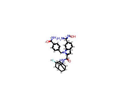 NC(=O)c1ccc(Cn2c(C(=O)NC34CC5CC(CC(F)(C5)C3)C4)cc3ccc(/C(N)=N\O)cc32)cc1